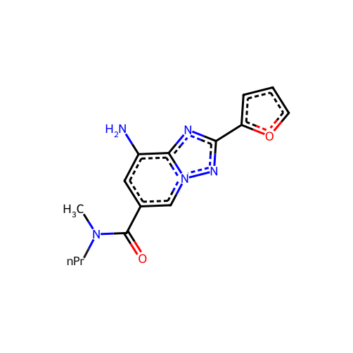 CCCN(C)C(=O)c1cc(N)c2nc(-c3ccco3)nn2c1